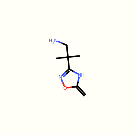 C=C1NC(C(C)(C)CN)=NO1